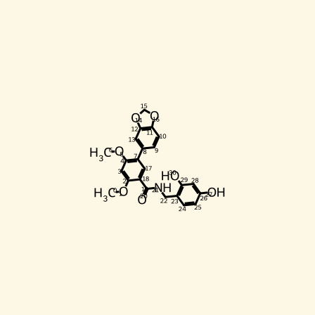 COc1cc(OC)c(-c2ccc3c(c2)OCO3)cc1C(=O)NCc1ccc(O)cc1O